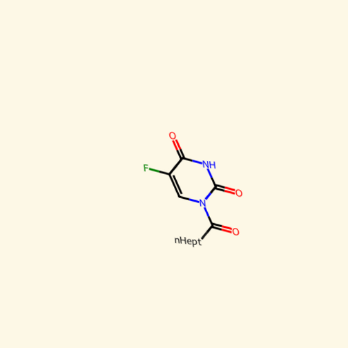 CCCCCCCC(=O)n1cc(F)c(=O)[nH]c1=O